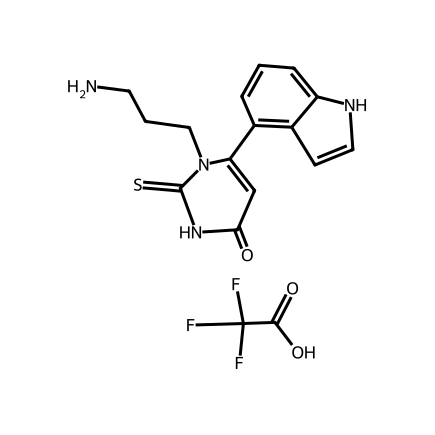 NCCCn1c(-c2cccc3[nH]ccc23)cc(=O)[nH]c1=S.O=C(O)C(F)(F)F